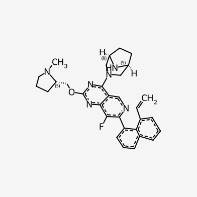 C=Cc1cccc2cccc(-c3ncc4c(N5C[C@H]6CC[C@@H](C5)N6)nc(OC[C@@H]5CCCN5C)nc4c3F)c12